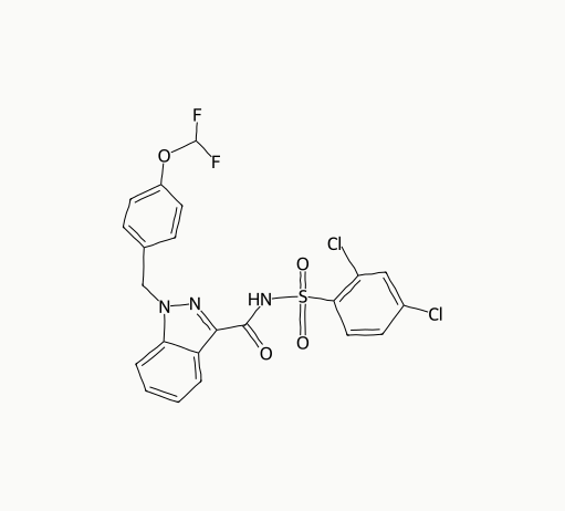 O=C(NS(=O)(=O)c1ccc(Cl)cc1Cl)c1nn(Cc2ccc(OC(F)F)cc2)c2ccccc12